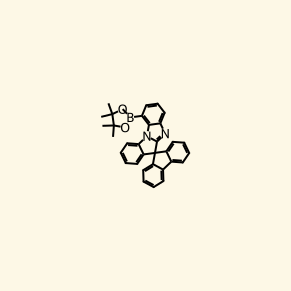 CC1(C)OB(c2cccc3nc4n(c23)-c2ccccc2C42c3ccccc3-c3ccccc32)OC1(C)C